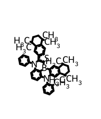 Cc1ccccc1N1c2cc3c(cc2B2c4sc5cc6c(cc5c4N(c4ccccc4)c4cccc1c42)C(C)(C)CCC6(C)C)C(C)(C)CCC3(C)C